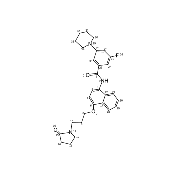 O=C(Nc1ccc(OCCCN2CCCC2=O)c2ccccc12)c1cc(F)cc(N2CCCCC2)c1